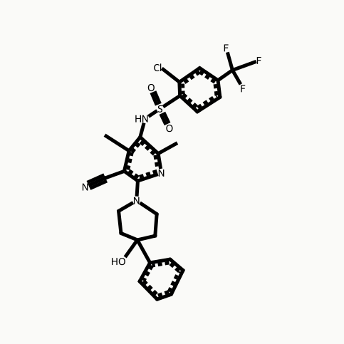 Cc1nc(N2CCC(O)(c3ccccc3)CC2)c(C#N)c(C)c1NS(=O)(=O)c1ccc(C(F)(F)F)cc1Cl